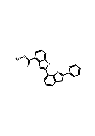 COC(=O)c1cccc2oc(-c3cccc4c3N=C(c3ccccn3)C4)nc12